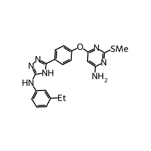 CCc1cccc(Nc2nnc(-c3ccc(Oc4cc(N)nc(SC)n4)cc3)[nH]2)c1